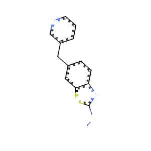 CNc1nc2ccc(Cc3cccnc3)cc2s1